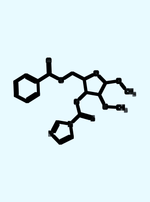 COC1OC(COC(=O)c2ccccc2)C(OC(=S)n2ccnc2)C1OC